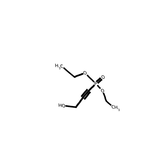 CCOP(=O)(C#CCO)OCC